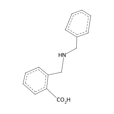 O=C(O)c1ccccc1CNCc1ccccc1